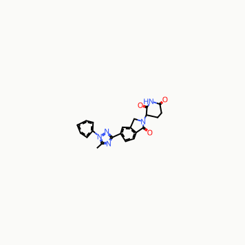 Cc1nc(-c2ccc3c(c2)CN(C2CCC(=O)NC2=O)C3=O)nn1-c1ccccc1